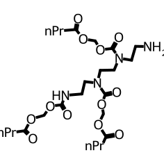 CCCC(=O)OCOC(=O)NCCN(CCN(CCN)C(=O)OCOC(=O)CCC)C(=O)OCOC(=O)CCC